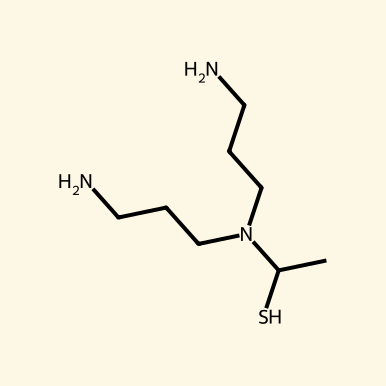 CC(S)N(CCCN)CCCN